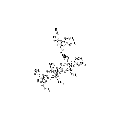 CCCC[N+](CCCC)(CCCC)CCCC.CCCC[N+](CCCC)(CCCC)CCCC.CCCC[N+](CCCC)(CCCC)CCCC.CCCC[N+](CCCC)(CCCC)CCCC.[F-].[F-].[F-].[F-]